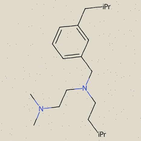 CC(C)CCN(CCN(C)C)Cc1cccc(CC(C)C)c1